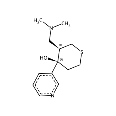 CN(C)C[C@H]1CSCC[C@]1(O)c1cccnc1